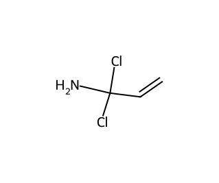 C=CC(N)(Cl)Cl